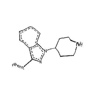 CCCCCc1nn(C2CCNCC2)c2ccccc12